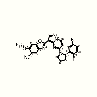 N#Cc1cc2nc(-c3cnn4ccc(N5CCC[C@@H]5c5cc(F)ccc5F)nc34)oc2cc1OC(F)(F)F